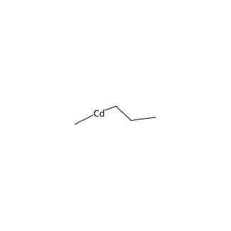 CC[CH2][Cd][CH3]